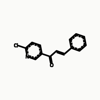 O=C(C=Cc1ccccc1)c1ccc(Cl)nc1